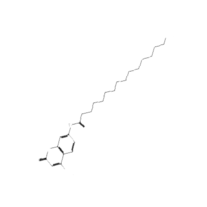 CCCCCCCCCCCCCCCC(=O)Nc1ccc2c(C)cc(=O)oc2c1